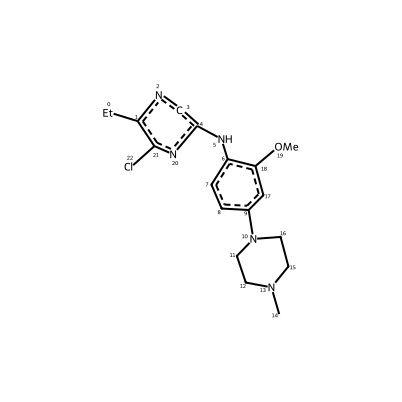 CCc1ncc(Nc2ccc(N3CCN(C)CC3)cc2OC)nc1Cl